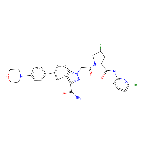 NC(=O)c1nn(CC(=O)N2CC(F)CC2C(=O)Nc2cccc(Br)n2)c2ccc(-c3ccc(N4CCOCC4)cc3)cc12